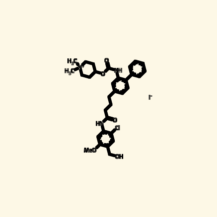 COc1cc(NC(=O)CCCc2ccc(-c3ccccc3)c(NC(=O)OC3CC[N+](C)(C)CC3)c2)c(Cl)cc1CO.[I-]